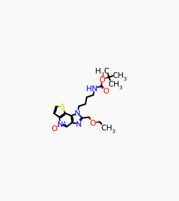 CCOCc1nc2c[n+]([O-])c3ccsc3c2n1CCCCNC(=O)OC(C)(C)C